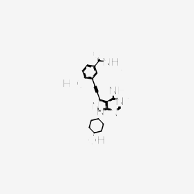 Cc1ccc(C(N)=O)cc1C#Cc1nn([C@H]2CC[C@H](O)CC2)c2ncnc(N)c12